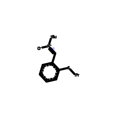 CC(C)Sc1ccccc1/C=[N+](\[O-])C(C)(C)C